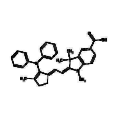 CC1=C(N(c2ccccc2)c2ccccc2)/C(=C/C=C2/N(C)c3ccc(C(=O)O)cc3C2(C)C)CC1